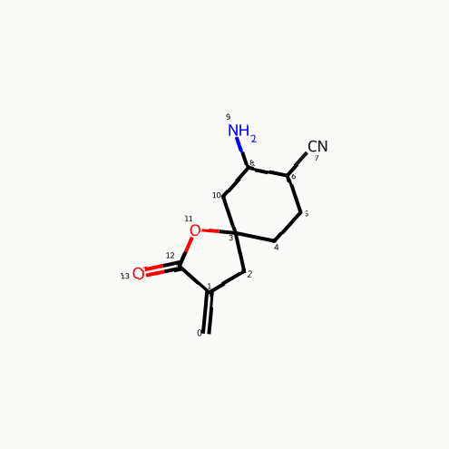 C=C1CC2(CCC(C#N)C(N)C2)OC1=O